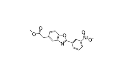 COC(=O)Cc1ccc2oc(-c3cccc([N+](=O)[O-])c3)nc2c1